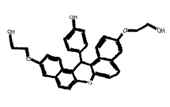 OCCOc1ccc2c3c(ccc2c1)Oc1ccc2cc(OCCO)ccc2c1C3c1ccc(O)cc1